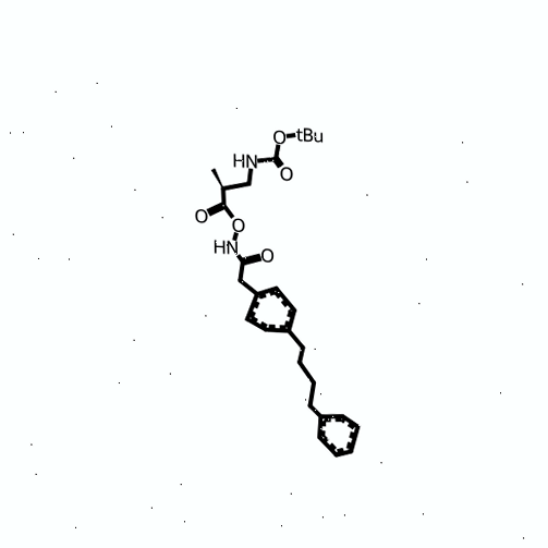 C[C@@H](CNC(=O)OC(C)(C)C)C(=O)ONC(=O)Cc1ccc(CCCCc2ccccc2)cc1